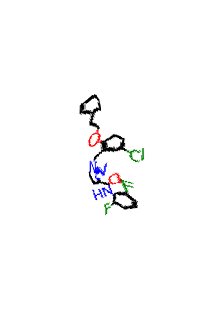 O=C(Nc1c(F)cccc1F)c1ccn(Cc2cc(Cl)ccc2OCCc2ccccc2)n1